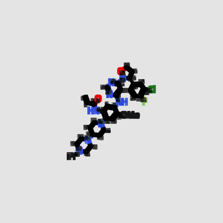 C=CC(=O)Nc1cc(Nc2cc(N3OCC[C@@H]3c3ccc(F)c(Cl)c3)ncn2)c(OC)cc1N1CCC(N2CCN(C(C)C)CC2)CC1